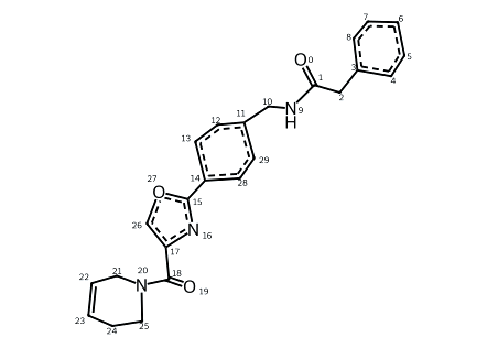 O=C(Cc1ccccc1)NCc1ccc(-c2nc(C(=O)N3CC=CCC3)co2)cc1